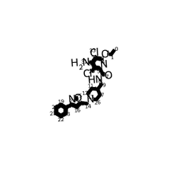 CCOc1nc(C(=O)NCC2CCN(Cc3cc(-c4ccccc4)no3)CC2)c(Cl)c(N)c1Cl